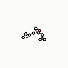 c1ccc(-c2ccccc2N(c2ccc(-c3cccc(-n4c5ccccc5c5ccccc54)c3)cc2)c2ccc(-c3ccc4oc5c(-c6ccccc6)cccc5c4c3)cc2)cc1